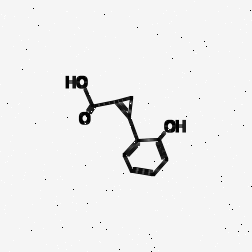 O=C(O)C1=C(c2ccccc2O)C1